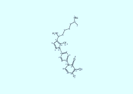 CCCCC(C)CCCCC(N)c1cnn(-c2ccc(-n3ccc(Cl)c(Cl)c3=O)cc2)c1C(F)(F)F